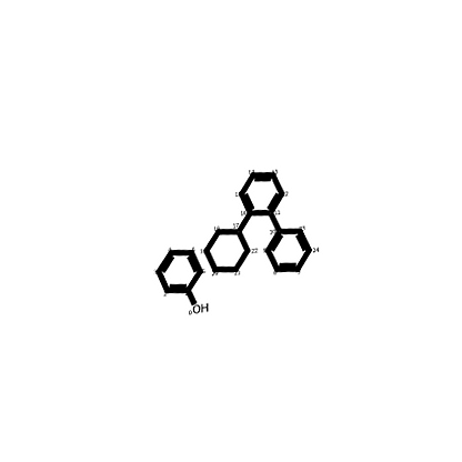 Oc1ccccc1.c1ccc(-c2ccccc2C2CCCCC2)cc1